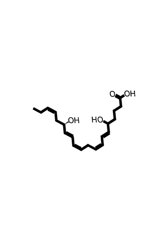 CC/C=C\C[C@H](O)/C=C/C=C\C/C=C\C=C\C(O)CCCC(=O)O